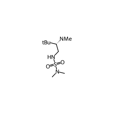 CN[C@H](CNS(=O)(=O)N(C)C)C(C)(C)C